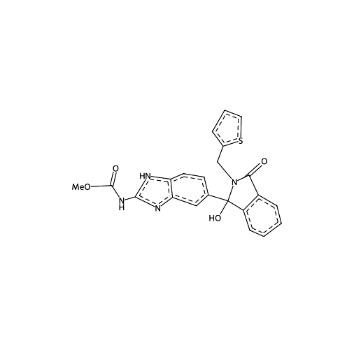 COC(=O)Nc1nc2cc(C3(O)c4ccccc4C(=O)N3Cc3cccs3)ccc2[nH]1